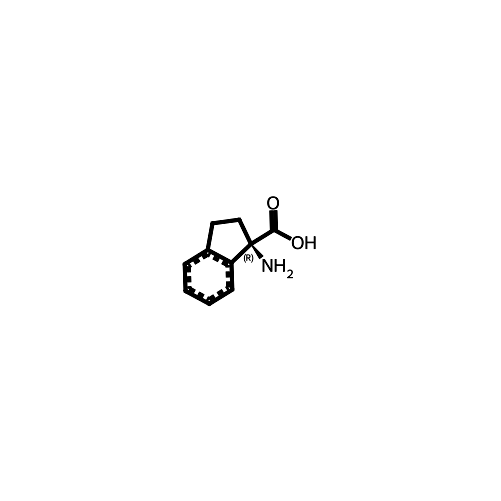 N[C@]1(C(=O)O)CCc2ccccc21